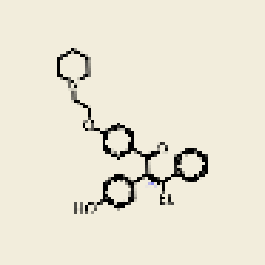 CC/C(=C(/C(=O)c1ccc(OCCN2CCCCC2)cc1)c1ccc(O)cc1)c1ccccc1